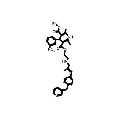 CC1=C(C(=O)OCCNC/C(C)=C/c2ccc(Cc3cccnc3)cc2)C(c2cccc([N+](=O)[O-])c2)C(C(=O)OC(C)C)=C(C)N1